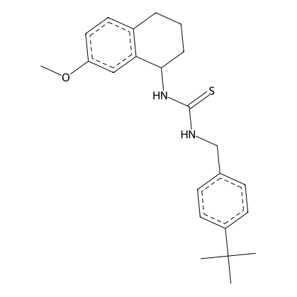 COc1ccc2c(c1)C(NC(=S)NCc1ccc(C(C)(C)C)cc1)CCC2